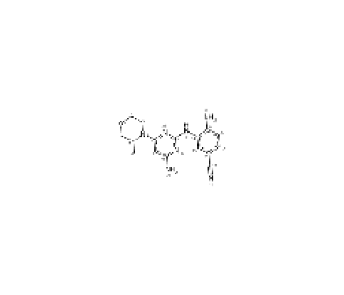 CC1COCCN1c1cc(N)nc(Nc2cc(C#N)ccc2N)n1